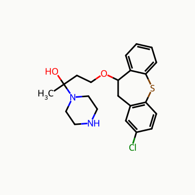 CC(O)(CCOC1Cc2cc(Cl)ccc2Sc2ccccc21)N1CCNCC1